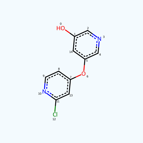 Oc1cncc(Oc2ccnc(Cl)c2)c1